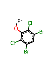 CC(C)Oc1c(Cl)c(Br)cc(Br)c1Cl